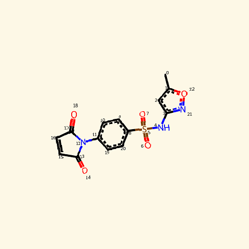 Cc1cc(NS(=O)(=O)c2ccc(N3C(=O)C=CC3=O)cc2)no1